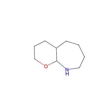 C1CCC2CCCOC2NC1